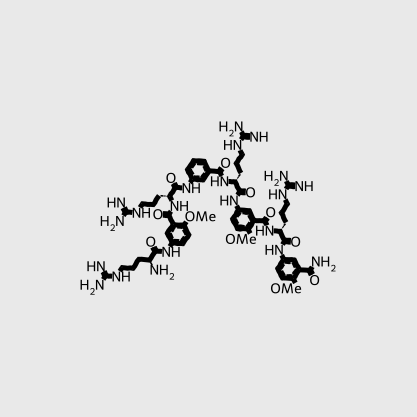 COc1ccc(NC(=O)[C@@H](CCCNC(=N)N)NC(=O)c2cc(NC(=O)[C@@H](CCCNC(=N)N)NC(=O)c3cccc(NC(=O)[C@@H](CCCNC(=N)N)NC(=O)c4cc(NC(=O)[C@H](N)CCCNC(=N)N)ccc4OC)c3)ccc2OC)cc1C(N)=O